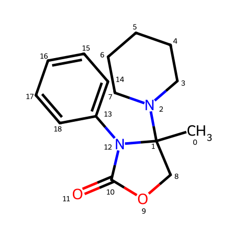 CC1(N2CCCCC2)COC(=O)N1c1ccccc1